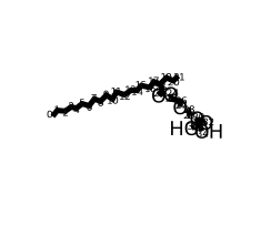 CCCCCCCCCCCCCCCCCCC(CCC)C(=O)OCCOCCOP(=O)(O)O